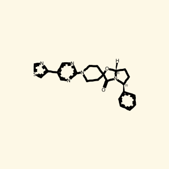 O=C1N2[C@@H](CC[C@H]2c2ccccc2)OC12CCN(c1ncc(-c3cscn3)cn1)CC2